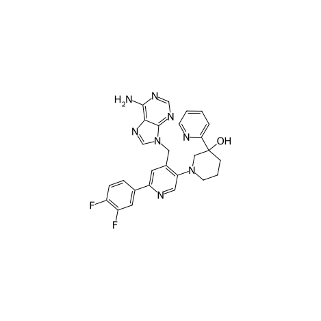 Nc1ncnc2c1ncn2Cc1cc(-c2ccc(F)c(F)c2)ncc1N1CCCC(O)(c2ccccn2)C1